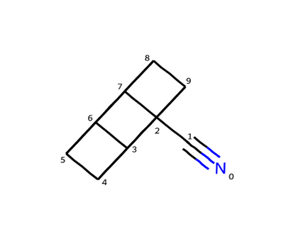 N#CC12C3C4C5C3C1C5C42